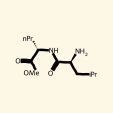 CCC[C@H](NC(=O)[C@@H](N)CC(C)C)C(=O)OC